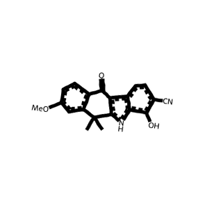 COc1ccc2c(c1)C(C)(C)c1[nH]c3c(O)c(C#N)ccc3c1C2=O